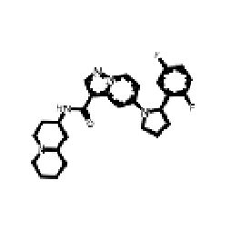 O=C(NC1CCN2CCCCC2C1)c1cnn2ccc(N3CCCC3c3cc(F)ccc3F)cc12